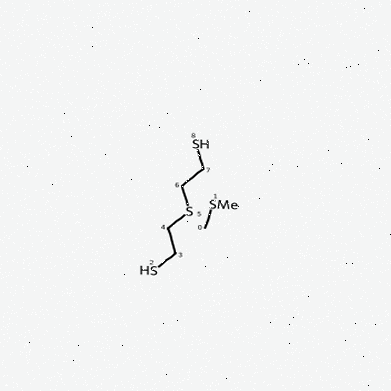 CSC.SCCSCCS